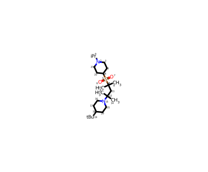 CC(C)N1CCC(S(=O)(=O)C(C)(C)CC(C)(C)N2CCC(C(C)(C)C)CC2)CC1